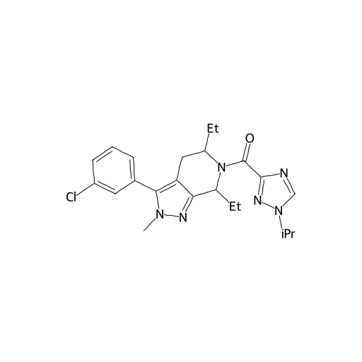 CCC1Cc2c(nn(C)c2-c2cccc(Cl)c2)C(CC)N1C(=O)c1ncn(C(C)C)n1